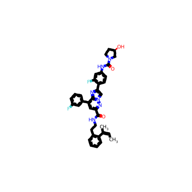 C/C=C(/C)c1ccccc1CCNC(=O)c1cc(-c2cccc(F)c2)c2nc(-c3ccc(NC(=O)N4CC[C@@H](O)C4)cc3F)cn2n1